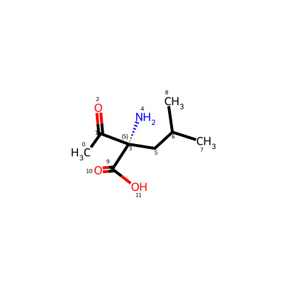 CC(=O)[C@@](N)(CC(C)C)C(=O)O